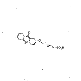 O=c1c2ccccc2sc2ccc(OCCOCCS(=O)(=O)O)cc12